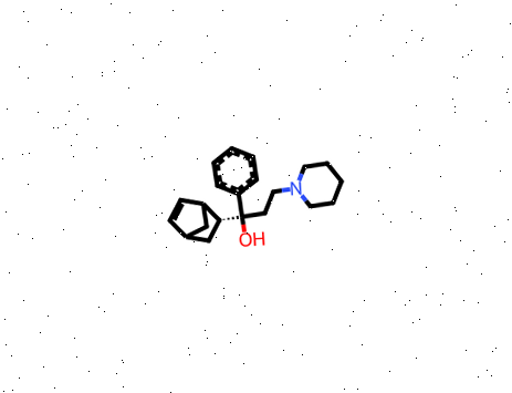 OC(CCN1CCCCC1)(c1ccccc1)[C@@H]1CC2C=CC1C2